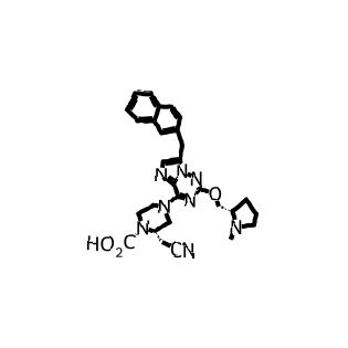 CN1CCC[C@H]1COc1nc(N2CCN(C(=O)O)[C@@H](CC#N)C2)c2ncc(Cc3ccc4ccccc4c3)n2n1